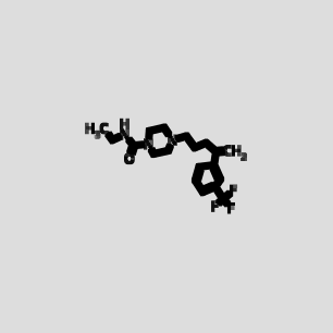 C=C(CCCN1CCN(C(=O)NCC)CC1)c1cccc(C(F)(F)F)c1